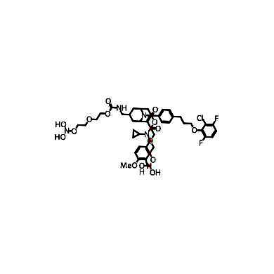 COc1ccc(CN(C(=O)C2=C(c3ccc(CCCOc4c(F)ccc(F)c4Cl)cc3)CC3CC(CNC(=O)OCCOCCON(O)O)CC2N3C(=O)OCCOCCON(O)O)C2CC2)cc1C